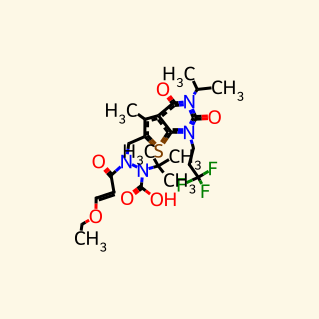 CCOC=CC(=O)N(Cc1sc2c(c1C)c(=O)n(C(C)C)c(=O)n2CCC(F)(F)F)N(C(=O)O)C(C)(C)C